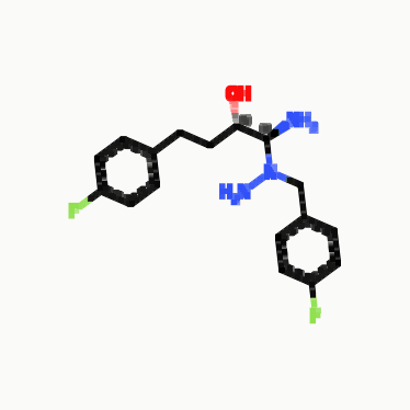 N[C@H]([C@@H](O)CCc1ccc(F)cc1)N(N)Cc1ccc(F)cc1